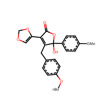 CCCCOc1ccc(CC2=C(C3=COCO3)C(=O)OC2(O)c2ccc(OC)cc2)cc1